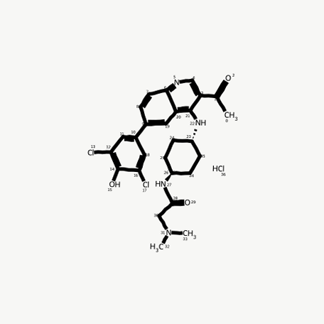 CC(=O)c1cnc2ccc(-c3cc(Cl)c(O)c(Cl)c3)cc2c1N[C@H]1CC[C@H](NC(=O)CN(C)C)CC1.Cl